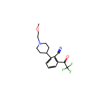 COCCN1CCC(c2cccc(C(=O)C(F)(F)F)c2C#N)CC1